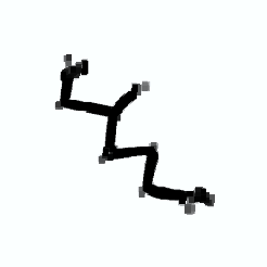 CCCCCCOC(F)CO